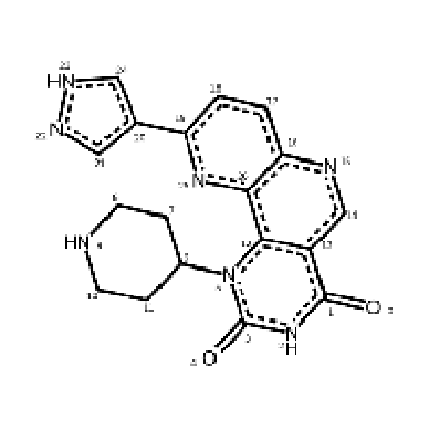 O=c1[nH]c(=O)n(C2CCNCC2)c2c1cnc1ccc(-c3cn[nH]c3)nc12